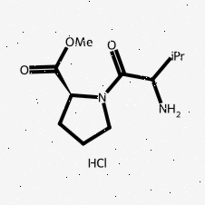 COC(=O)[C@@H]1CCCN1C(=O)C(N)C(C)C.Cl